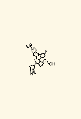 C=CC(=O)N1Cc2cc(-c3nc(-c4ccc5cnn(C)c5c4)c4ccsc4c3-c3c(F)cc(F)cc3OCCO)nn2C[C@H]1C